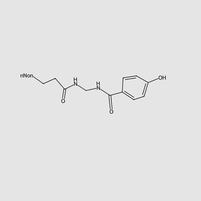 CCCCCCCCCCCC(=O)NCNC(=O)c1ccc(O)cc1